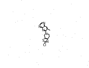 Cc1cc2nccnc2nc1N1CCc2nc(Cl)sc2C1